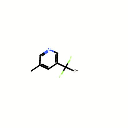 Cc1cncc(C(F)(F)C(C)C)c1